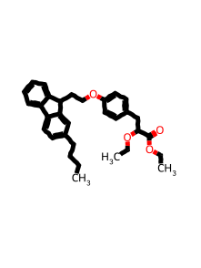 CCCCc1ccc2c(c1)C(CCOc1ccc(CC(OCC)C(=O)OCC)cc1)c1ccccc1-2